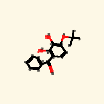 CC(C)(C)Oc1ccc(C(=O)c2ccccc2)c(O)c1O